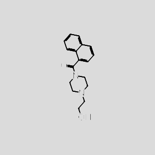 O=C(c1cccc2ccccc12)N1CCN(CCO)CC1